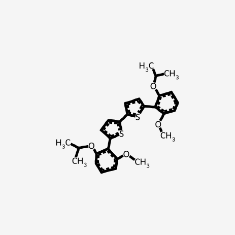 COc1cccc(OC(C)C)c1-c1ccc(-c2ccc(-c3c(OC)cccc3OC(C)C)s2)s1